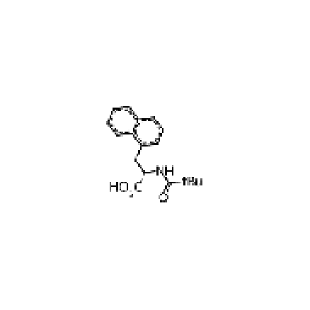 CC(C)(C)C(=O)N[C@@H](Cc1cccc2ccccc12)C(=O)O